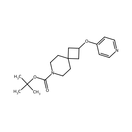 CC(C)(C)OC(=O)N1CCC2(CC1)CC(Oc1ccncc1)C2